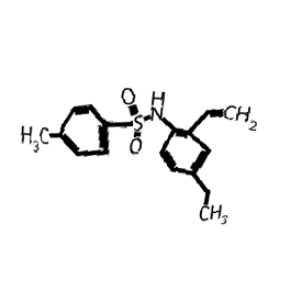 C=Cc1cc(CC)ccc1NS(=O)(=O)c1ccc(C)cc1